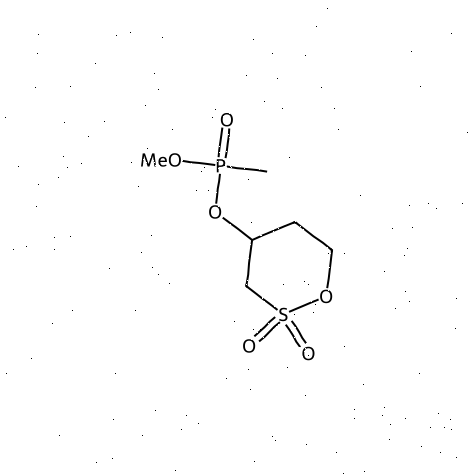 COP(C)(=O)OC1CCOS(=O)(=O)C1